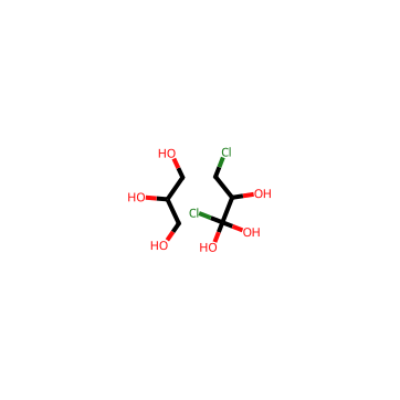 OC(CCl)C(O)(O)Cl.OCC(O)CO